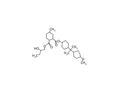 CCC(O)COC(=O)C1CCC(C)CC1C(=O)OC1CCC(C(C)(C)C2CCC(OC)CC2)CC1